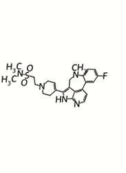 CN1Cc2c(C3=CCN(CCS(=O)(=O)N(C)C)CC3)[nH]c3nccc(c23)-c2cc(F)ccc21